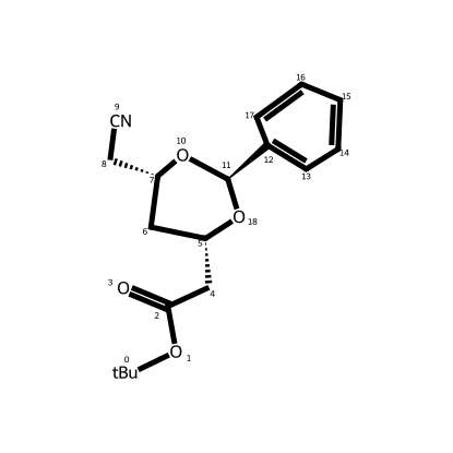 CC(C)(C)OC(=O)C[C@@H]1C[C@H](CC#N)O[C@@H](c2ccccc2)O1